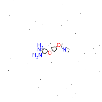 CC(CN1CCCC1)Oc1ccc(Oc2ccc(N)c(N)c2)cc1